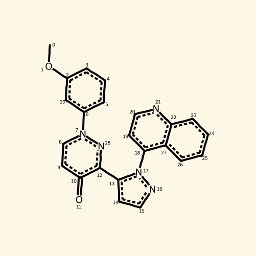 COc1cccc(-n2ccc(=O)c(-c3ccnn3-c3ccnc4ccccc34)n2)c1